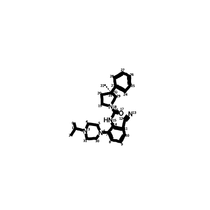 CC(C)N1CCN(c2cccc(C#N)c2NC(=O)N2CC[C@@](C)(c3ccccc3)C2)CC1